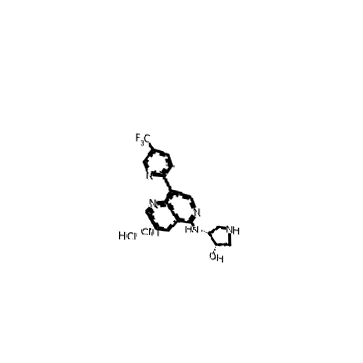 Cl.Cl.O[C@H]1CNC[C@H]1Nc1ncc(-c2ccc(C(F)(F)F)cn2)c2ncccc12